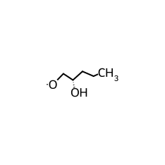 CCC[C@H](O)C[O]